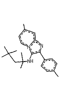 Cc1ccc(-c2nc3cc(C)ccn3c2NC(C)(C)CC(C)(C)C)cc1